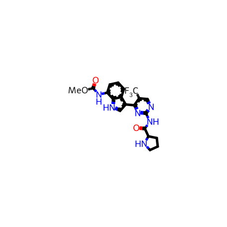 COC(=O)Nc1cccc2c(-c3nc(NC(=O)C4CCCN4)ncc3C(F)(F)F)c[nH]c12